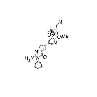 COc1ncc(-c2ccc3nc(N)n(-c4ccccc4)c(=O)c3c2)cc1S(=O)(=O)NCCN(C)C